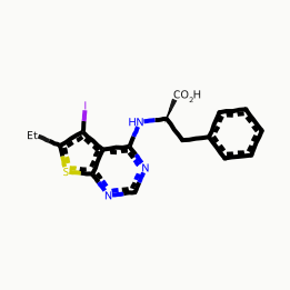 CCc1sc2ncnc(N[C@H](Cc3ccccc3)C(=O)O)c2c1I